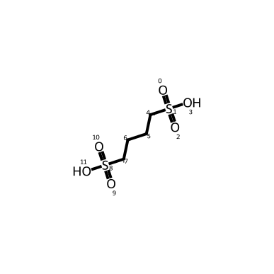 O=S(=O)(O)[CH]CC[CH]S(=O)(=O)O